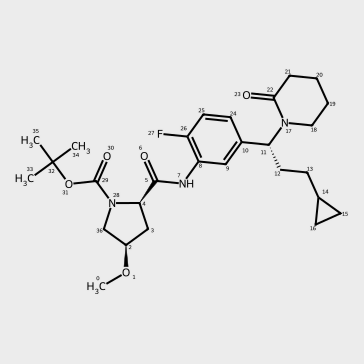 CO[C@@H]1C[C@H](C(=O)Nc2cc([C@@H](CCC3CC3)N3CCCCC3=O)ccc2F)N(C(=O)OC(C)(C)C)C1